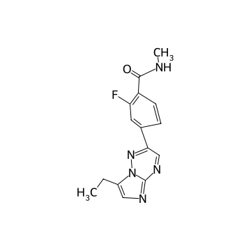 CCc1cnc2ncc(-c3ccc(C(=O)NC)c(F)c3)nn12